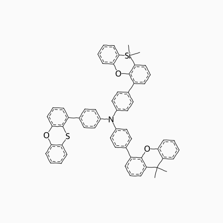 CC1(C)c2ccccc2Oc2c(-c3ccc(N(c4ccc(-c5cccc6c5Oc5ccccc5[Si]6(C)C)cc4)c4ccc(-c5cccc6c5Sc5ccccc5O6)cc4)cc3)cccc21